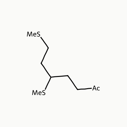 CSCCC(CCC(C)=O)SC